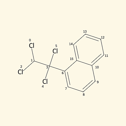 ClC(Cl)C(Cl)(Cl)c1cccc2ccccc12